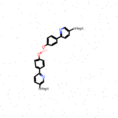 CCCCCCCc1ccc(-c2ccc(OBOc3ccc(-c4ccc(CCCCCCC)cn4)cc3)cc2)nc1